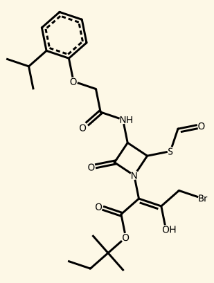 CCC(C)(C)OC(=O)/C(=C(\O)CBr)N1C(=O)C(NC(=O)COc2ccccc2C(C)C)C1SC=O